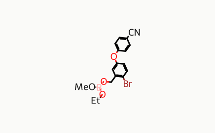 CCOB(OC)OCc1cc(Oc2ccc(C#N)cc2)ccc1Br